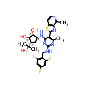 Cc1nc(NCc2c(F)cc(F)cc2F)nc(N[C@@H]2C[C@H](C(C)(C)O)[C@@H](O)[C@H]2O)c1-c1nc2c(C)nccc2s1